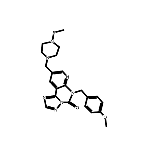 COc1ccc(Cn2c(=O)n3ncnc3c3cc(CN4CCN(SC)CC4)cnc32)cc1